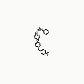 Fc1ccc(Cc2ccc(N3CCN(C[C@@H]4C[C@H]4c4ccccc4)CC3)cc2)cc1